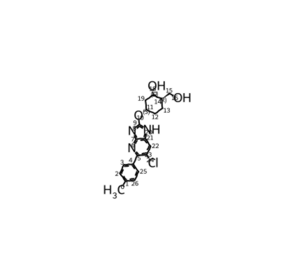 Cc1ccc(-c2nc3nc(O[C@H]4CC[C@H](CO)[C@@H](O)C4)[nH]c3cc2Cl)cc1